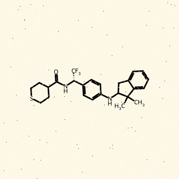 CC1(C)c2ccccc2CC1Nc1ccc([C@H](NC(=O)C2CCSCC2)C(F)(F)F)cc1